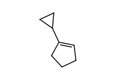 C1=C(C2CC2)CCC1